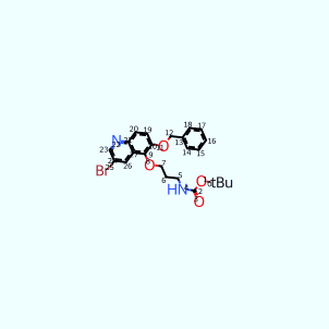 CC(C)(C)OC(=O)NCCCOc1c(OCc2ccccc2)ccc2ncc(Br)cc12